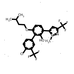 CC(C)CCOc1ccc(-c2cc(C(F)(F)F)nn2C)c(O)c1-c1ccc(Cl)c(C(F)(F)F)c1